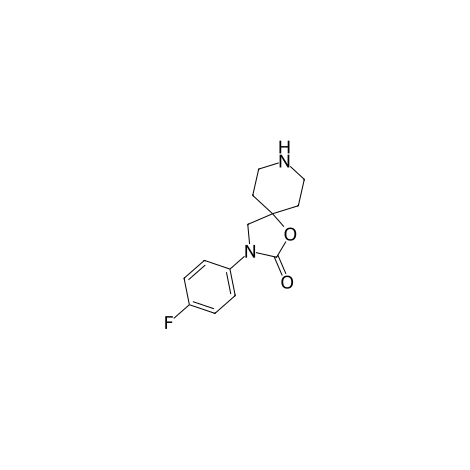 O=C1OC2(CCNCC2)CN1c1ccc(F)cc1